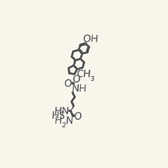 CC12CCC3c4ccc(O)cc4CCC3C1CCC2OC(=O)NCCCC[C@H](NS)C(N)=O